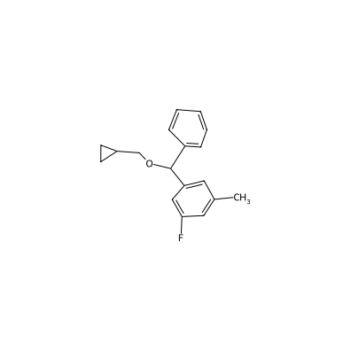 Cc1cc(F)cc(C(OCC2CC2)c2ccccc2)c1